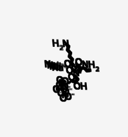 C=CC(N)c1cn([C@H]2C[C@H](O)[C@@H](COP(=O)([O-])OP(=O)([O-])OP(=O)([O-])[O-])O2)c(=O)n(C(=O)CCCCCN)c1=O.[Na+].[Na+].[Na+].[Na+]